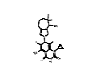 CC1=c2c(c(=O)[nH]c(=O)n2C2CC2)=C(N)C(F)C1N1CC2CCCC(F)(F)C(N)C2C1